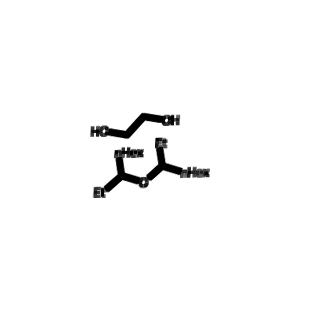 CCCCCCC(CC)OC(CC)CCCCCC.OCCO